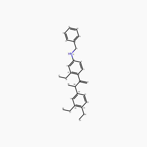 C=C(c1ccc(NCc2ccccc2)cc1CC)C(C)c1ccc(CC)c(CC)c1